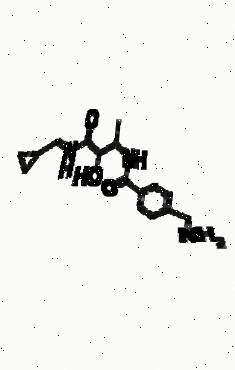 CC(NC(=O)c1ccc(CN)cc1)C(O)C(=O)NCC1CC1